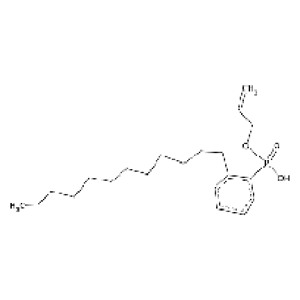 C=CCOP(=O)(O)c1ccccc1CCCCCCCCCCCC